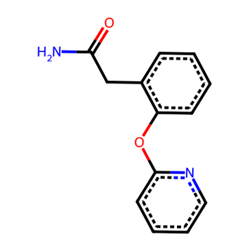 NC(=O)Cc1ccccc1Oc1ccccn1